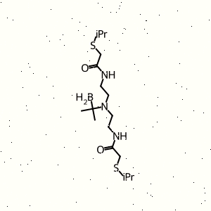 BC(C)(C)N(CCNC(=O)CSC(C)C)CCNC(=O)CSC(C)C